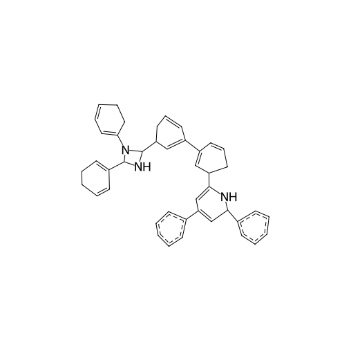 C1=CCCC(N2C(C3=CCCC=C3)NC2C2C=C(C3=CC(C4=CC(c5ccccc5)=CC(c5ccccc5)N4)CC=C3)C=CC2)=C1